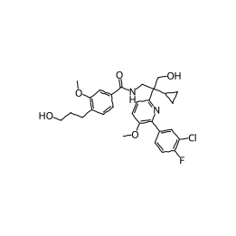 COc1cc(C(=O)NCC(CO)(c2ccc(OC)c(-c3ccc(F)c(Cl)c3)n2)C2CC2)ccc1CCCO